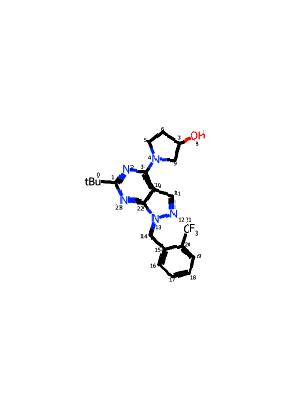 CC(C)(C)c1nc(N2CCC(O)C2)c2cnn(Cc3ccccc3C(F)(F)F)c2n1